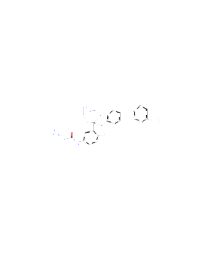 Cc1ccc(NC(=O)CN(C)C)cc1C1(Cc2ccc(Sc3ccc(Cl)cc3)cc2)CCNCC1